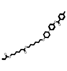 C=CC(=O)OCCCCCC(=O)OCCCCCCO[C@H]1CC[C@H](c2ccc(OC(=O)c3ccc(C)cc3)cc2)CC1